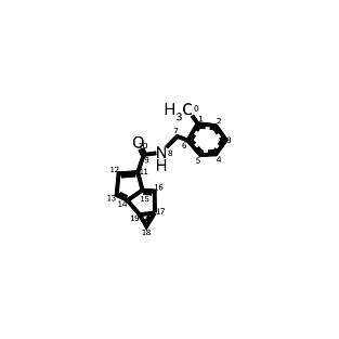 Cc1ccccc1CNC(=O)C1=CC=C2C1=CC1=CC12